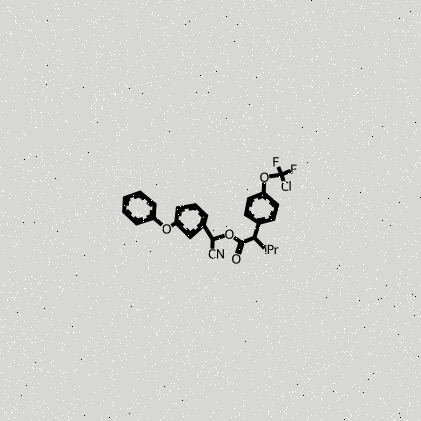 CC(C)C(C(=O)OC(C#N)c1cccc(Oc2ccccc2)c1)c1ccc(OC(F)(F)Cl)cc1